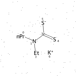 CCCN(CC)C(=S)[S-].[K+]